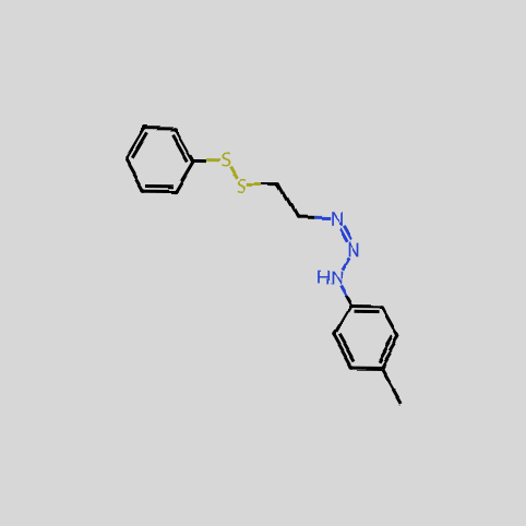 Cc1ccc(N/N=N\CCSSc2ccccc2)cc1